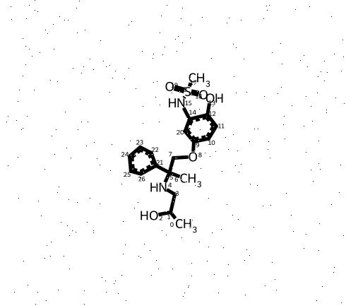 CC(O)CNC(C)(COc1ccc(O)c(NS(C)(=O)=O)c1)c1ccccc1